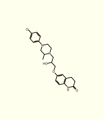 CC1CN(c2ccc(Cl)cc2)CCN1CC(O)COc1ccc2c(c1)CCC(=O)N2